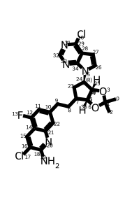 CC1(C)O[C@@H]2[C@H](O1)C(CCc1cc(F)c3cc(Cl)c(N)nc3c1)C[C@H]2n1ccc2c(Cl)ncnc21